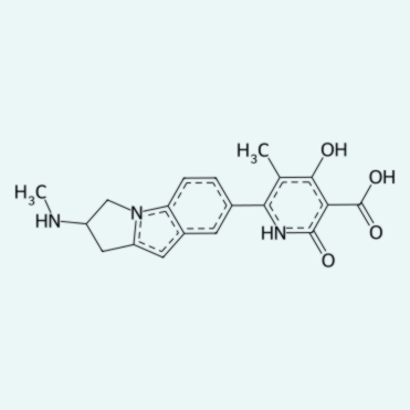 CNC1Cc2cc3cc(-c4[nH]c(=O)c(C(=O)O)c(O)c4C)ccc3n2C1